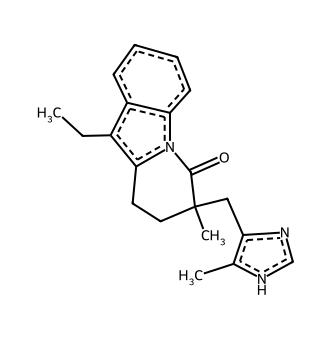 CCc1c2n(c3ccccc13)C(=O)C(C)(Cc1nc[nH]c1C)CC2